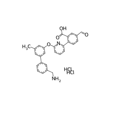 Cc1cc(Oc2cccc(-c3ccc(C=O)cc3C(=O)O)n2)cc(-c2cccc(CN)c2)c1.Cl.Cl